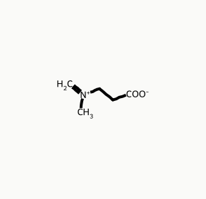 C=[N+](C)CCC(=O)[O-]